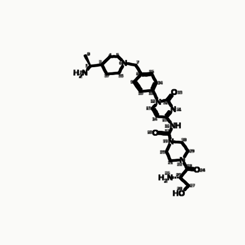 C[C@H](N)C1CCN(Cc2ccc(-n3ccc(NC(=O)N4CCN(C(=O)[C@@H](N)CO)CC4)nc3=O)cc2)CC1